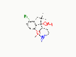 COc1ccc(Br)c2c1C(O)(C1CCN(C)CC1)C(C)(C)C2